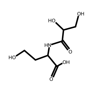 O=C(NC(CCO)C(=O)O)C(O)CO